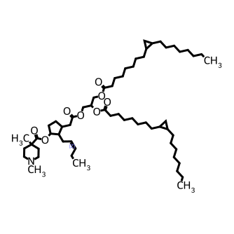 CC/C=C\CC1C(CC(=O)OCC(COC(=O)CCCCCCCC2CC2CCCCCCCC)OC(=O)CCCCCCCC2CC2CCCCCCCC)CCC1OC(=O)C1(C)CCN(C)CC1